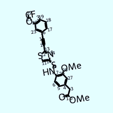 COC(=O)Cc1ccc(NSc2csc(C#Cc3cccc(OC(F)(F)F)c3)n2)c(OC)c1